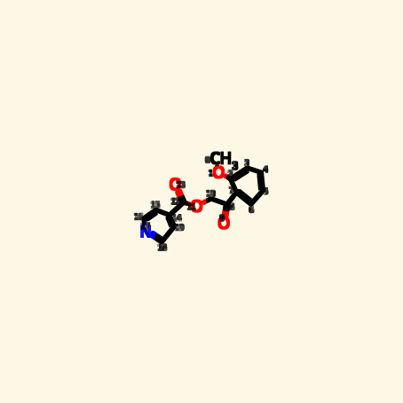 COc1ccccc1C(=O)COC(=O)c1ccncc1